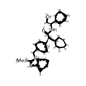 CSc1nc2ccccc2n1Cc1ccc([C@@H](C(=O)N[C@@H](CO)c2ccccc2)C2CCCCCC2)cc1